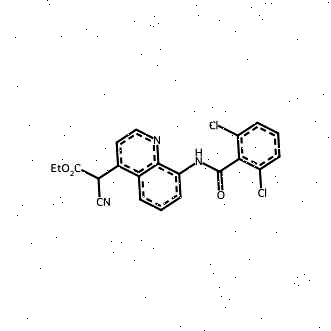 CCOC(=O)C(C#N)c1ccnc2c(NC(=O)c3c(Cl)cccc3Cl)cccc12